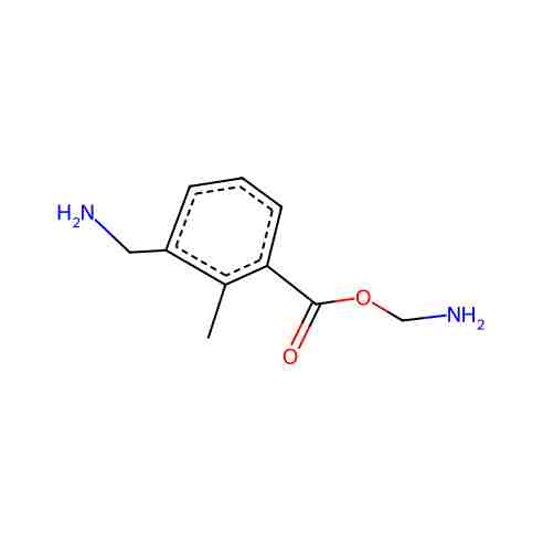 Cc1c(CN)cccc1C(=O)OCN